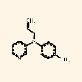 C=CCN(c1ccc(C)cc1)c1cccnc1